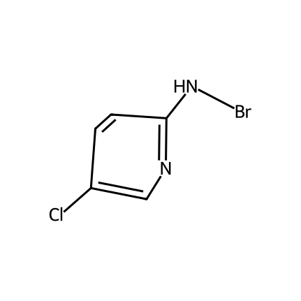 Clc1ccc(NBr)nc1